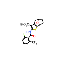 CCOC(=O)c1c(NC(=O)c2c(F)cccc2C(F)(F)F)sc2c1CC1CCC2O1